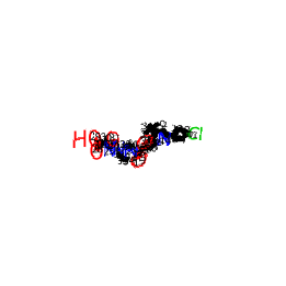 CC(C)(C)c1cc(-c2ccc(Cl)cc2)nc2cc(C(=O)N3CCN(c4nc(C(=O)O)co4)CC3(C)C)oc12